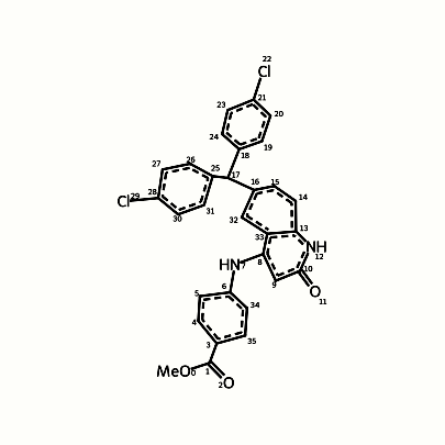 COC(=O)c1ccc(Nc2cc(=O)[nH]c3ccc(C(c4ccc(Cl)cc4)c4ccc(Cl)cc4)cc23)cc1